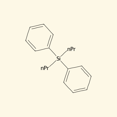 CCC[Si](CCC)(c1ccccc1)c1ccccc1